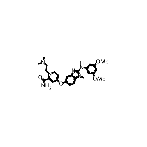 COc1cc(Nc2nc3cc(OC4=CCN(CCN(C)C)C(C(N)=O)=C4)ccc3n2C)cc(OC)c1